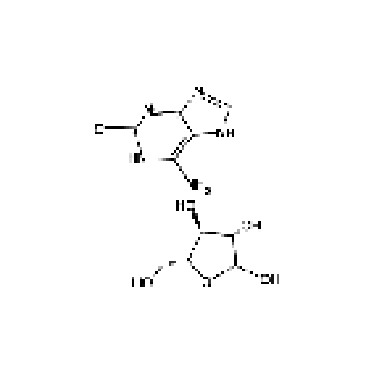 Nc1[nH]c(=O)nc2nc[nH]c12.OC[C@H]1OC(O)[C@@H](O)[C@@H]1O